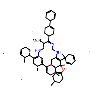 CNC(CNC1=C(C2CCC=CC2C)CC(C)C(C2=CCC(C)CC2)=C1)/C(=N\CNC1=C(C2(C)C=CC=CC2)C2(C)OC3=C(CC(C)CC3)C2CC1)C1CC=C(C2C=CC=CC2)CC1